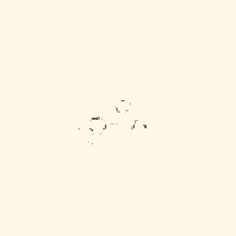 Cc1cc(N(Cc2cc(C)no2)c2ncc(Cl)c(N)n2)[nH]n1